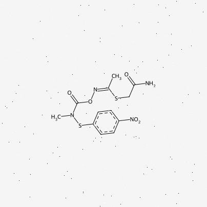 CC(=NOC(=O)N(C)Sc1ccc([N+](=O)[O-])cc1)SCC(N)=O